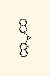 C1=CN(C2CC2c2ccc3ccccc3n2)Cc2ccccc21